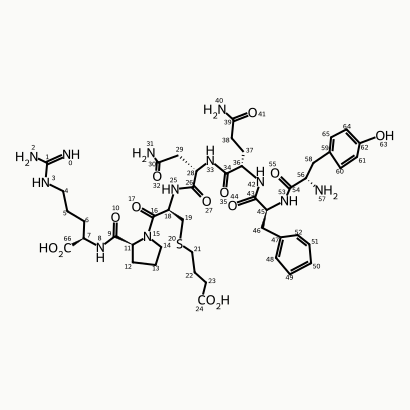 N=C(N)NCCC[C@@H](NC(=O)[C@@H]1CCCN1C(=O)[C@H](CSCCCC(=O)O)NC(=O)[C@H](CC(N)=O)NC(=O)[C@H](CCC(N)=O)NC(=O)[C@H](Cc1ccccc1)NC(=O)[C@@H](N)Cc1ccc(O)cc1)C(=O)O